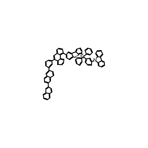 c1ccc([Si](c2ccccc2)(c2cccc(-n3c4ccccc4c4ccccc43)c2)c2cccc3c2sc2ccc(-c4cccc5cc(-c6cccc(-c7ccc8cc(-c9ccc%10ccccc%10c9)ccc8c7)c6)c6ccccc6c45)cc23)cc1